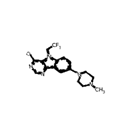 CN1CCN(c2ccc3c(c2)c2ncnc(Cl)c2n3CC(F)(F)F)CC1